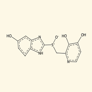 [O-][S+](Cc1nccc(O)c1O)c1nc2cc(O)ccc2[nH]1